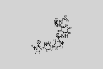 CN1CCC(c2ccc(-c3ccnc(C(=O)Nc4cccc(-c5nncn5C5CC5)c4)c3)cn2)C1=O